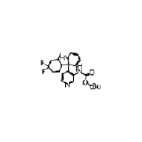 CC1CC(F)(F)CCC1C1(c2ccncc2NC(=O)OC(C)(C)C)NC=CC=C1F